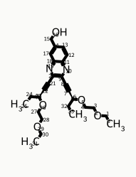 CCOCCO[C@H](C#Cc1nc2ccc(CO)cc2nc1C#C[C@H](CC)OCCOCC)CC